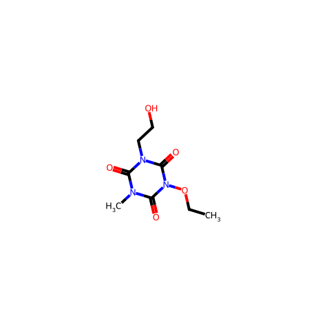 CCOn1c(=O)n(C)c(=O)n(CCO)c1=O